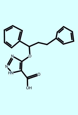 O=C(O)c1[nH]nnc1OC(CCc1ccccc1)c1ccccc1